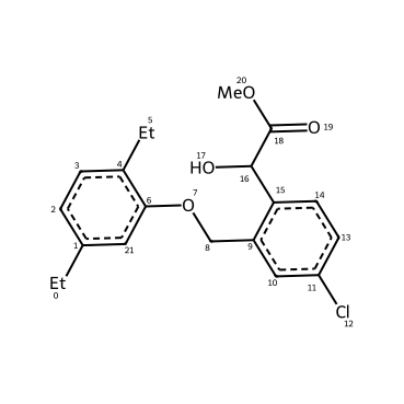 CCc1ccc(CC)c(OCc2cc(Cl)ccc2C(O)C(=O)OC)c1